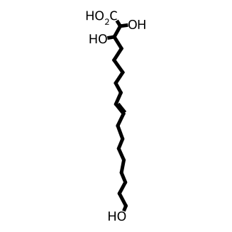 O=C(O)C(O)C(O)CCCCCC=CCCCCCCCCO